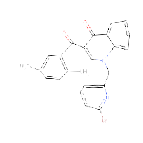 Cc1ccc(C)c(C(=O)c2cn(Cc3cccc(Br)n3)c3ccccc3c2=O)c1